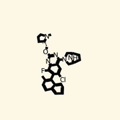 Cc1ccc2ccccc2c1-c1c(Cl)cc2c(N3CC4CCC(C3)N4)nc(OC[C@@H]3CCCN3C)nc2c1F